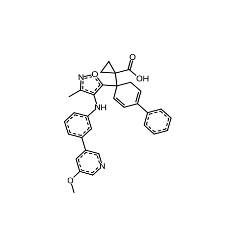 COc1cncc(-c2cccc(Nc3c(C)noc3C3(C4(C(=O)O)CC4)C=CC(c4ccccc4)=CC3)c2)c1